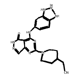 N#CCC1CCN(c2nc(Nc3ccc4c(c3)NNN4)c3c(=O)[nH]ncc3n2)CC1